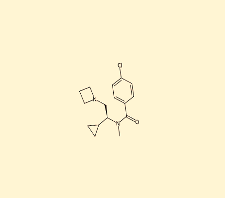 CN(C(=O)c1ccc(Cl)cc1)[C@H](CN1CCC1)C1CC1